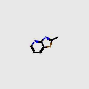 Cc1nc2ncccc2s1